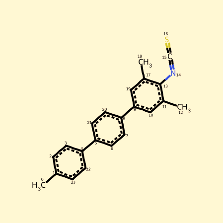 Cc1ccc(-c2ccc(-c3cc(C)c(N=C=S)c(C)c3)cc2)cc1